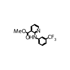 COC(=O)c1cccnc1Nc1cccc(C(F)(F)F)c1